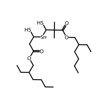 CCCCC(CC)COC(=O)C[CH](S)[Sn][CH](S)C(C)(C)C(=O)OCC(CC)CCCC